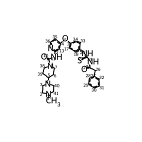 CN1CCN(C2CCN(C(=O)Nc3cc(Oc4ccc(NC(=S)NC(=O)Cc5ccccc5)cc4)ccn3)CC2)CC1